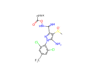 CCCCCCC(=O)ONC(=N)c1nn(-c2c(Cl)cc(C(F)(F)F)cc2Cl)c(N)c1[S+](C)[O-]